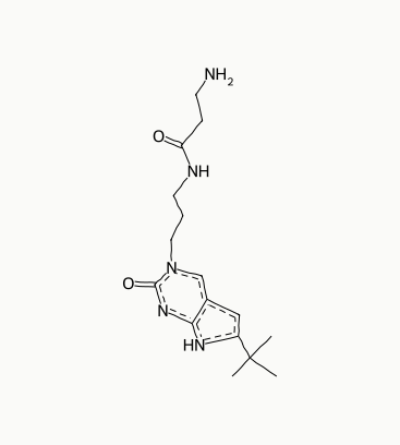 CC(C)(C)c1cc2cn(CCCNC(=O)CCN)c(=O)nc2[nH]1